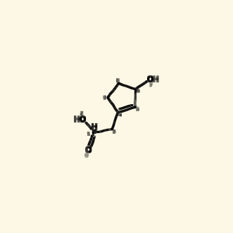 O=[PH](O)CC1=CC(O)CC1